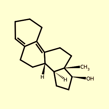 C[C@]12CCC3=C4CCCC=C4CC[C@H]3[C@@H]1CC[C@@H]2O